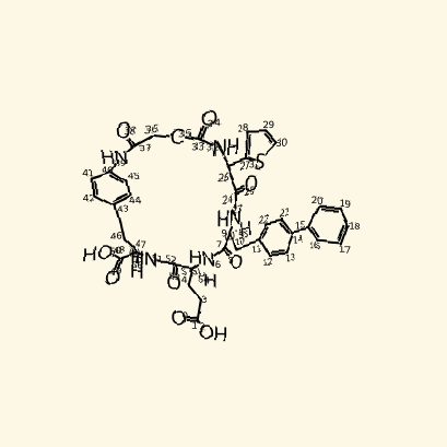 O=C(O)CC[C@@H]1NC(=O)[C@H](Cc2ccc(-c3ccccc3)cc2)NC(=O)C(c2cccs2)NC(=O)CCC(=O)Nc2ccc(cc2)C[C@@H](C(=O)O)NC1=O